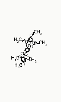 CCCOc1cc(OCCC)c(C(=O)Oc2ccc(OC(=O)c3c(OC)cc(OC)cc3OC)cc2)c(OCCC)c1